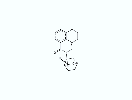 CC12CCCc3cccc(c31)C(=O)N([C@@H]1CN3CCC1CC3)C2